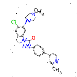 Cc1cc(-c2ccc(NC(=O)N3CCc4cc(Cl)c(N5CCN(C)CC5)cc43)cc2)ccn1